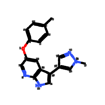 Cc1ccc(Oc2cnc3[nH]cc(-c4cnn(C)c4)c3c2)cc1